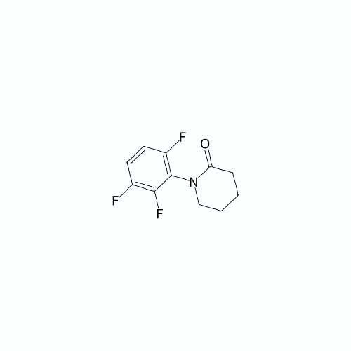 O=C1CCCCN1c1c(F)ccc(F)c1F